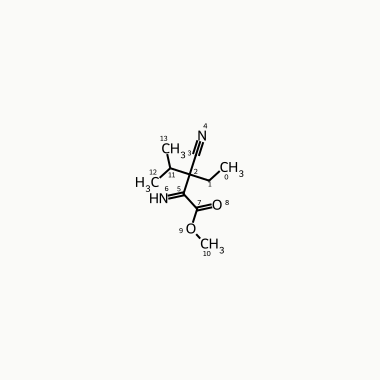 CCC(C#N)(C(=N)C(=O)OC)C(C)C